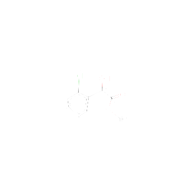 CC(C)OC(=O)C(O)c1ccccc1Cl